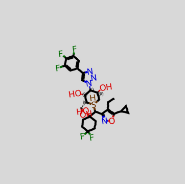 CCc1c(C([SH]2C[C@H](O)[C@H](n3cc(-c4cc(F)c(F)c(F)c4)nn3)[C@@H](O)[C@H]2CO)C2(O)CCC(F)(F)CC2)noc1C1CC1